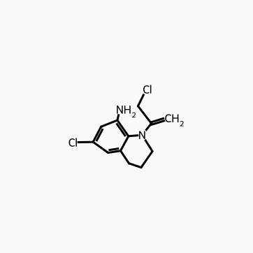 C=C(CCl)N1CCCc2cc(Cl)cc(N)c21